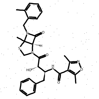 Cc1ccccc1CN1C(=O)[C@H]2N(C(=O)[C@@H](O)[C@H](Cc3ccccc3)NC(=O)c3c(C)noc3C)CSC21C